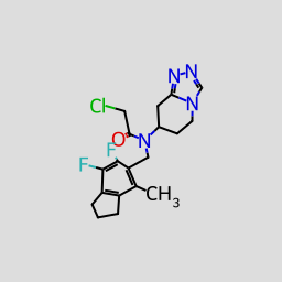 Cc1c(CN(C(=O)CCl)C2CCn3cnnc3C2)c(F)c(F)c2c1CCC2